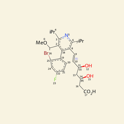 COCc1c(C(C)C)nc(C(C)C)c(/C=C/[C@@H](O)C[C@@H](O)CC(=O)O)c1-c1ccc(F)cc1Br